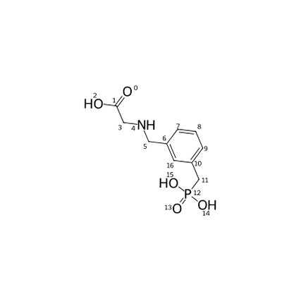 O=C(O)CNCc1cccc(CP(=O)(O)O)c1